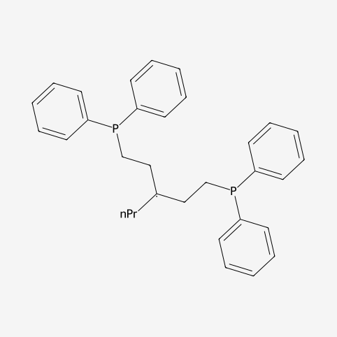 [CH2]CC[C](CCP(c1ccccc1)c1ccccc1)CCP(c1ccccc1)c1ccccc1